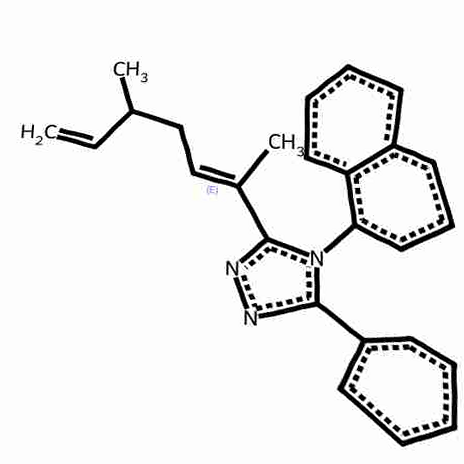 C=CC(C)C/C=C(\C)c1nnc(-c2ccccc2)n1-c1cccc2ccccc12